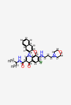 CCCC(CCC)NC(=O)c1cn2c3c(c(NCCCN4CCOCC4)c(F)cc3c1=O)Oc1cc3ccccc3cc1-2